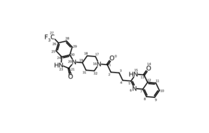 O=C(CCCc1nc2ccccc2c(=O)[nH]1)N1CCC(n2c(=O)[nH]c3cc(C(F)(F)F)ccc32)CC1